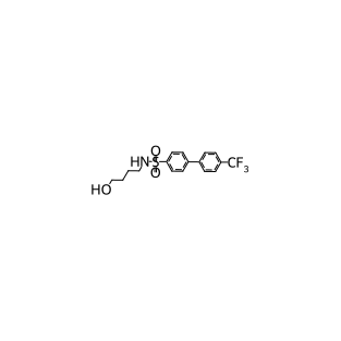 O=S(=O)(NCCCCO)c1ccc(-c2ccc(C(F)(F)F)cc2)cc1